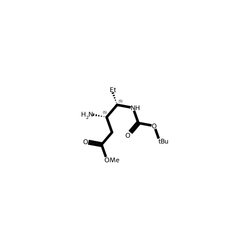 CC[C@H](NC(=O)OC(C)(C)C)[C@@H](N)CC(=O)OC